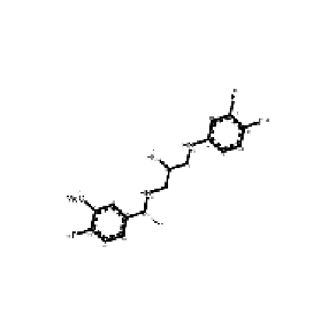 COc1cc([C@@H](C)NCC(O)CNc2ccc(F)c(F)c2)ccc1F